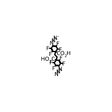 [N-]=[N+]=NC1=C(F)C(F)C(CCC2(C(=O)O)C(F)=C(F)C(N=[N+]=[N-])=C(F)C2F)(C(=O)O)C(F)=C1F